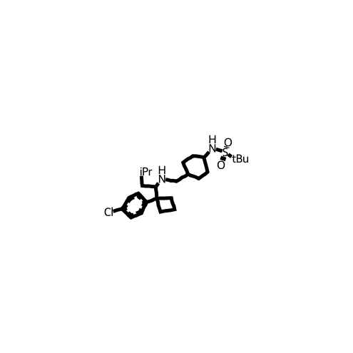 CC(C)CC(NCC1CCC(NS(=O)(=O)C(C)(C)C)CC1)C1(c2ccc(Cl)cc2)CCC1